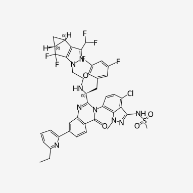 CCc1cccc(-c2ccc3c(=O)n(-c4ccc(Cl)c5c(NS(C)(=O)=O)nn(C)c45)c([C@H](Cc4cc(F)cc(F)c4)NC(=O)Cn4nc(C(F)F)c5c4C(F)(F)[C@@H]4C[C@H]54)nc3c2)n1